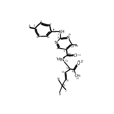 Cc1ccc(Nc2ncc(C(=O)NC(/C=C/C(C)(C)C)C(=O)O)c(C)n2)cc1